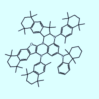 Cc1cc2c(cc1N1c3cc(N4c5ccccc5C5(C)CCCCC45C)cc4c3B(c3oc5cc6c(cc5c31)C(C)(C)CCC6(C)C)C1c3cc5c(cc3C(C)(C)C1N4c1cc3c(cc1C)C(C)(C)CCC3(C)C)C(C)(C)CCC5(C)C)C(C)(C)CCC2(C)C